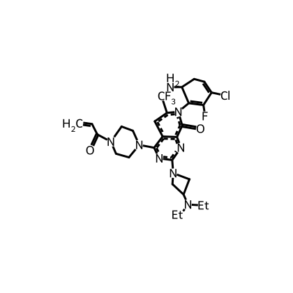 C=CC(=O)N1CCN(c2nc(N3CC(N(CC)CC)C3)nc3c(=O)n(C4=C(F)C(Cl)=CCC4N)c(C(F)(F)F)cc23)CC1